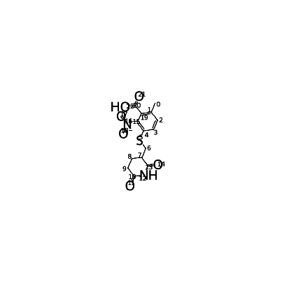 Cc1ccc(SCC2CCC(=O)NC2=O)c([N+](=O)[O-])c1C(=O)O